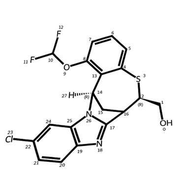 OC[C@@H]1Sc2cccc(OC(F)F)c2[C@H]2CC1c1nc3ccc(Cl)cc3n12